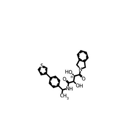 CC(NC(=O)C(O)[C@@H](O)C(=O)N1Cc2ccccc2C1)c1ccc(-c2ccsc2)cc1